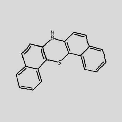 B1c2ccc3ccccc3c2Sc2c1ccc1ccccc21